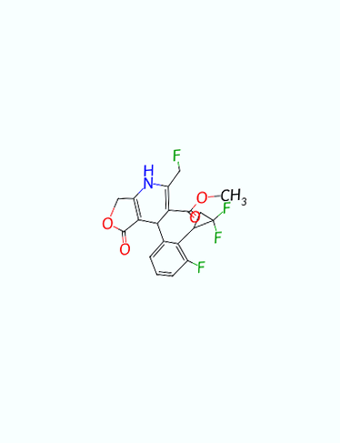 COC(=O)C1=C(CF)NC2=C(C(=O)OC2)C1c1cccc(F)c1C1CC1(F)F